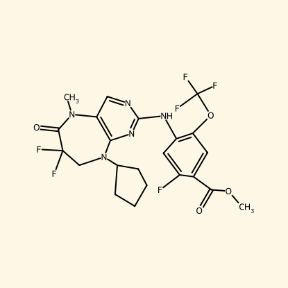 COC(=O)c1cc(OC(F)(F)F)c(Nc2ncc3c(n2)N(C2CCCC2)CC(F)(F)C(=O)N3C)cc1F